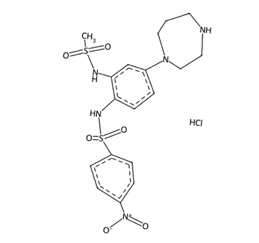 CS(=O)(=O)Nc1cc(N2CCCNCC2)ccc1NS(=O)(=O)c1ccc([N+](=O)[O-])cc1.Cl